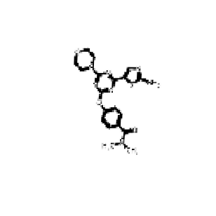 CN(C)C(=O)c1ccc(Oc2nc(-c3cnc(N)s3)nc(N3CCOCC3)n2)cc1